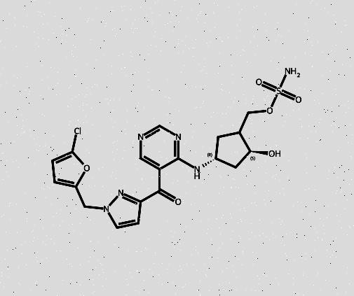 NS(=O)(=O)OCC1C[C@@H](Nc2ncncc2C(=O)c2ccn(Cc3ccc(Cl)o3)n2)C[C@@H]1O